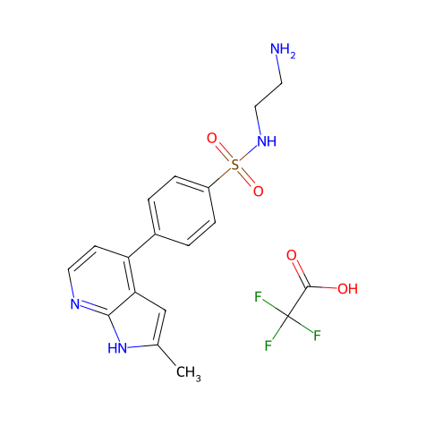 Cc1cc2c(-c3ccc(S(=O)(=O)NCCN)cc3)ccnc2[nH]1.O=C(O)C(F)(F)F